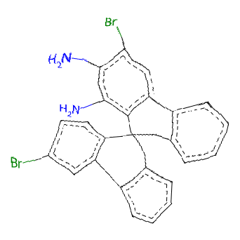 Nc1c(Br)cc2c(c1N)C1(c3ccccc3-c3cc(Br)ccc31)c1ccccc1-2